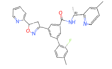 Cc1ccnc([C@@H](C)NC(=O)c2cc(C3=NOC(c4ccccn4)C3)cc(-c3ccc(C)cc3F)c2)c1